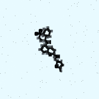 Cc1ccc(CNc2ccc3c(N[C@H]4CCS(=O)(=O)c5ccccc54)cccc3n2)o1